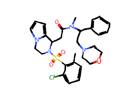 Cc1cccc(Cl)c1S(=O)(=O)N1CCn2cccc2C1CC(=O)N(C)C(CN1CCOCC1)c1ccccc1